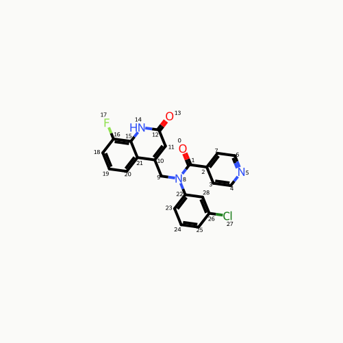 O=C(c1ccncc1)N(Cc1cc(=O)[nH]c2c(F)cccc12)c1cccc(Cl)c1